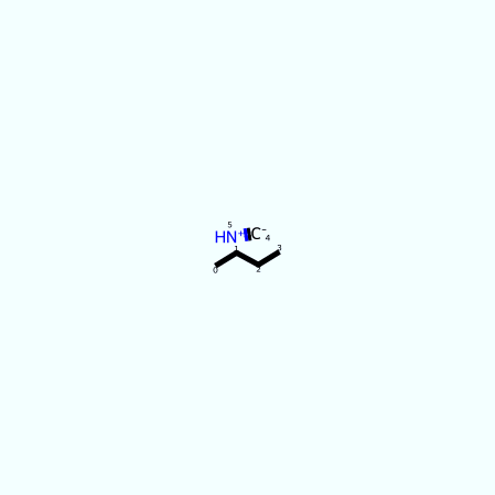 CCCC.[C-]#[NH+]